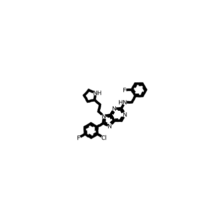 Fc1ccc(-c2nc3cnc(NCc4ccccc4F)nc3n2CCC2CCCN2)c(Cl)c1